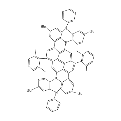 Cc1cccc(C)c1-c1cc2c3c(cc4c(-c5c(C)cccc5C)cc5c6c(cc1c3c46)B1c3ccc(C(C)(C)C)cc3N(c3ccccc3)c3cc(C(C)(C)C)cc-5c31)B1c3ccc(C(C)(C)C)cc3N(c3ccccc3)c3cc(C(C)(C)C)cc-2c31